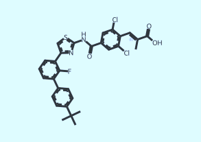 C/C(=C\c1c(Cl)cc(C(=O)Nc2nc(-c3cccc(-c4ccc(C(C)(C)C)cc4)c3F)cs2)cc1Cl)C(=O)O